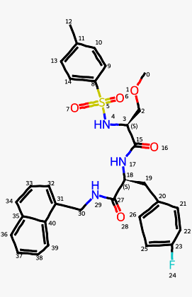 COC[C@H](NS(=O)(=O)c1ccc(C)cc1)C(=O)N[C@@H](Cc1ccc(F)cc1)C(=O)NCc1cccc2ccccc12